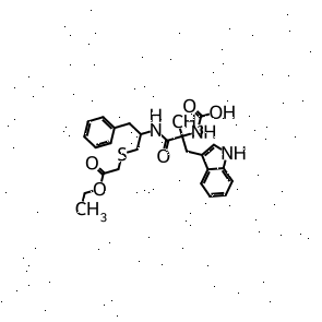 CCOC(=O)CSCC(Cc1ccccc1)NC(=O)C(C)(Cc1c[nH]c2ccccc12)NC(=O)O